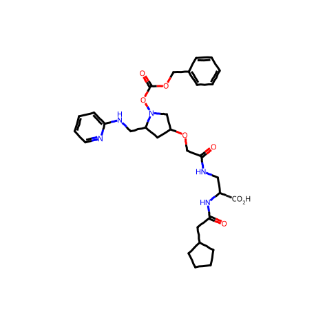 O=C(COC1CC(CNc2ccccn2)N(OC(=O)OCc2ccccc2)C1)NCC(NC(=O)CC1CCCC1)C(=O)O